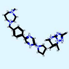 Cc1nc2nc(C)c(C[C@@H]3CCN(c4cnc(-c5ccc(CN6CCCN(C)CC6)cc5)cn4)C3)c(C)n2n1